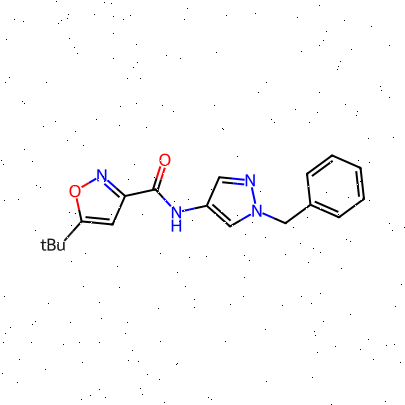 CC(C)(C)c1cc(C(=O)Nc2cnn(Cc3ccccc3)c2)no1